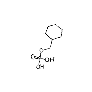 O=P(O)(O)OCC1[CH]CCCC1